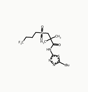 CC(C)(CS(=O)(=O)CCCC(F)(F)F)C(=O)Nc1nnc(C(C)(C)C)s1